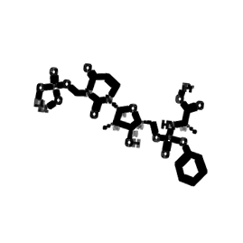 CCOP(=O)(OCC)OCn1c(=O)ccn([C@@H]2O[C@H](COP(=O)(N[C@@H](C)C(=O)OC(C)C)Oc3ccccc3)[C@@H](O)[C@@H]2C)c1=O